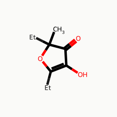 CCC1=C(O)C(=O)C(C)(CC)O1